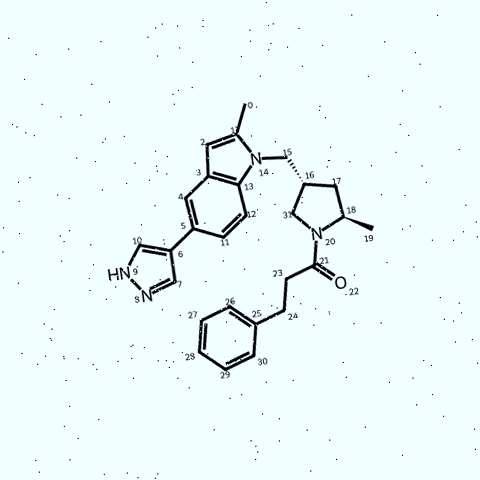 Cc1cc2cc(-c3cn[nH]c3)ccc2n1C[C@@H]1C[C@@H](C)N(C(=O)CCc2ccccc2)C1